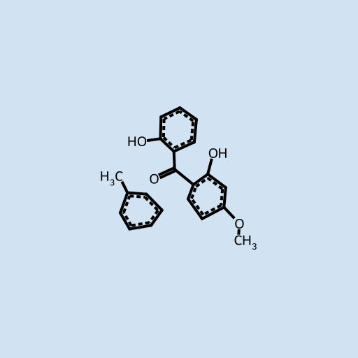 COc1ccc(C(=O)c2ccccc2O)c(O)c1.Cc1ccccc1